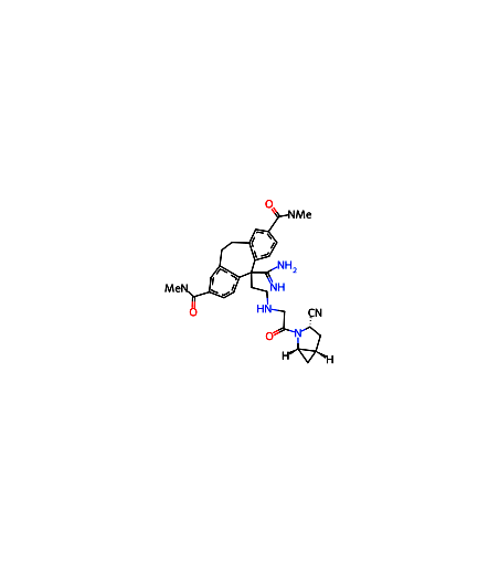 CNC(=O)c1ccc2c(c1)CCc1cc(C(=O)NC)ccc1C2(CCNCC(=O)N1[C@H](C#N)C[C@@H]2C[C@@H]21)C(=N)N